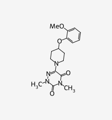 COc1ccccc1OC1CCN(c2nn(C)c(=O)n(C)c2=O)CC1